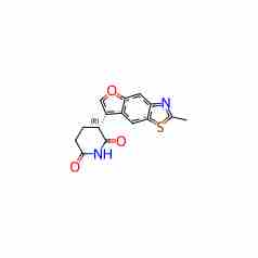 Cc1nc2cc3occ([C@H]4CCC(=O)NC4=O)c3cc2s1